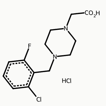 Cl.O=C(O)CN1CCN(Cc2c(F)cccc2Cl)CC1